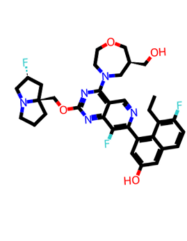 CCc1c(F)ccc2cc(O)cc(-c3ncc4c(N5CCOC[C@@H](CO)C5)nc(OC[C@@]56CCCN5C[C@H](F)C6)nc4c3F)c12